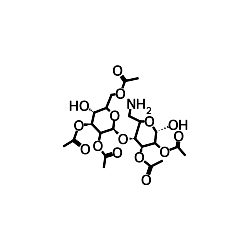 CC(=O)OCC1O[C@@H](O[C@@H]2C(CN)O[C@H](O)C(OC(C)=O)[C@H]2OC(C)=O)C(OC(C)=O)[C@@H](OC(C)=O)[C@@H]1O